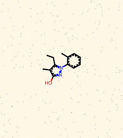 CCc1c(C)c(O)nn1-c1ccccc1C